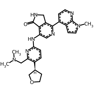 CN(C)Cc1nc(Nc2cnc(-c3ccnc4c3ccn4C)c3c2C(=O)NC3)ccc1[C@H]1CCOC1